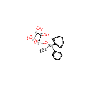 CC(C)(C)[Si](OC[C@@H]1O[C@H](O)[C@H](O)[C@H]1O)(c1ccccc1)c1ccccc1